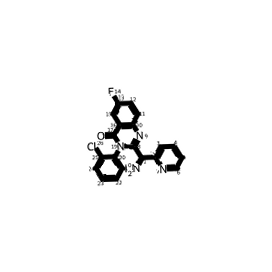 NC(c1ccccn1)c1nc2ccc(F)cc2c(=O)n1-c1ccccc1Cl